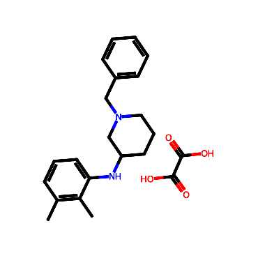 Cc1cccc(NC2CCCN(Cc3ccccc3)C2)c1C.O=C(O)C(=O)O